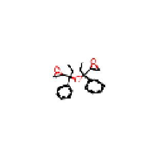 CCC(OC(CC)(c1ccccc1)C1CO1)(c1ccccc1)C1CO1